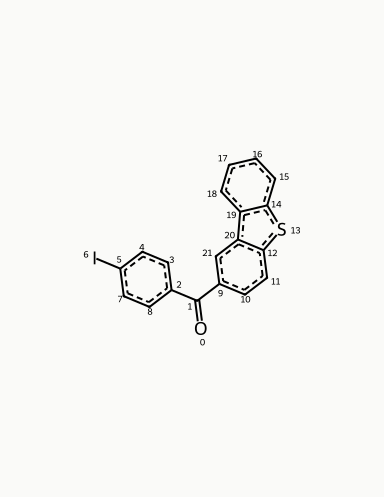 O=C(c1ccc(I)cc1)c1ccc2sc3ccccc3c2c1